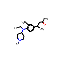 COC(=O)CC(C)c1ccc(N(CC(C)C)C2CCN(C(C)=O)CC2)c([N+](=O)[O-])c1